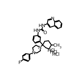 CC1CCC(c2cccc(NC(=O)Nc3cnc4ccccc4c3)c2)(N2CCN(c3ccc(F)cc3)CC2)CC1.Cl.Cl.Cl